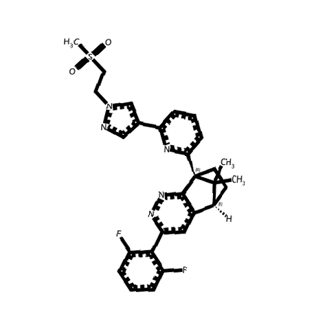 CC1(C)[C@H]2CC[C@@]1(c1cccc(-c3cnn(CCS(C)(=O)=O)c3)n1)c1nnc(-c3c(F)cccc3F)cc12